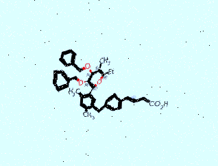 CC[C@H]1O[C@@H](c2cc(Cc3ccc(/C=C/CC(=O)O)cc3)c(C)cc2C)[C@H](OCc2ccccc2)[C@@H](OCc2ccccc2)[C@H]1C